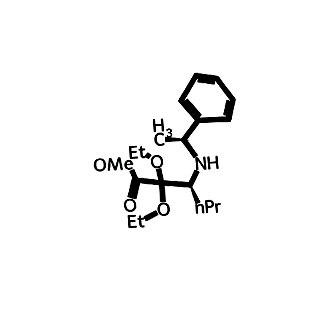 CCC[C@H](N[C@@H](C)c1ccccc1)C(OCC)(OCC)C(=O)OC